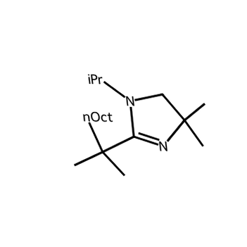 CCCCCCCCC(C)(C)C1=NC(C)(C)CN1C(C)C